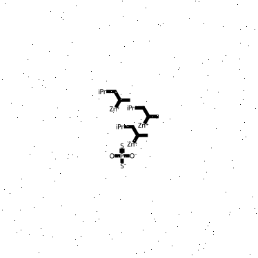 CC(C)C[CH](C)[Zn+].CC(C)C[CH](C)[Zn+].CC(C)C[CH](C)[Zn+].[O-]P([O-])(=S)[S-]